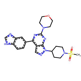 CS(=O)(=O)N1CCC(n2ncc3c(-c4ccc5[nH]cnc5c4)nc(N4CCOCC4)nc32)CC1